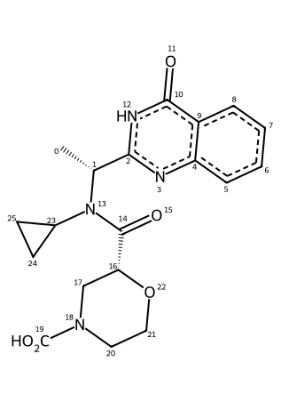 C[C@H](c1nc2ccccc2c(=O)[nH]1)N(C(=O)[C@H]1CN(C(=O)O)CCO1)C1CC1